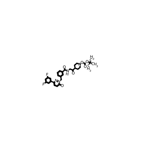 CC(C)(C)OC(=O)ON1CCC(C(=O)CNC(=O)c2cccc(Cn3nc(-c4cc(F)cc(F)c4)ccc3=O)c2)CC1